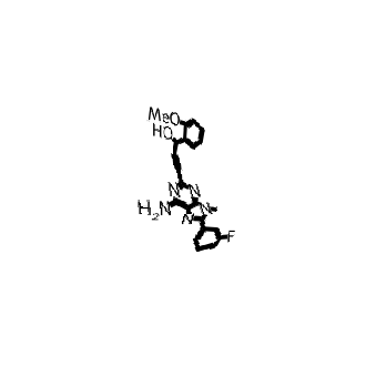 COc1ccccc1C(O)C#Cc1nc(N)c2nc(-c3cccc(F)c3)n(C)c2n1